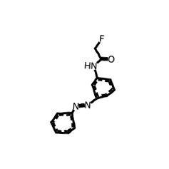 O=C(CF)Nc1cccc(N=Nc2ccccc2)c1